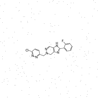 Fc1ccccc1-c1nc2c([nH]1)C=NN(Cc1ccc(Cl)nn1)C2